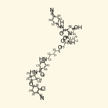 CC(C)C(NC(=O)COCCCCCNc1ccc(C(=O)N[C@H]2C(C)(C)[C@H](Oc3ccc(C#N)c(Cl)c3)C2(C)C)cc1)C(=O)N1C[C@H](O)C[C@H]1C(=O)NCc1ccc(C#N)cc1